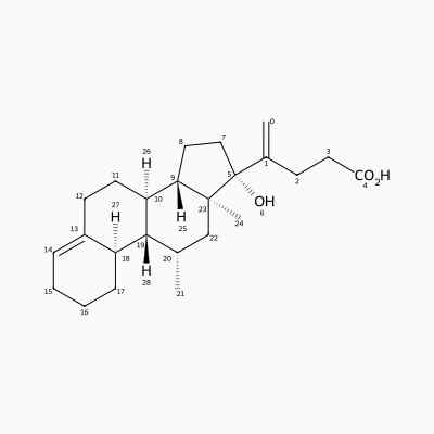 C=C(CCC(=O)O)[C@]1(O)CC[C@H]2[C@@H]3CCC4=CCCC[C@@H]4[C@H]3[C@@H](C)C[C@@]21C